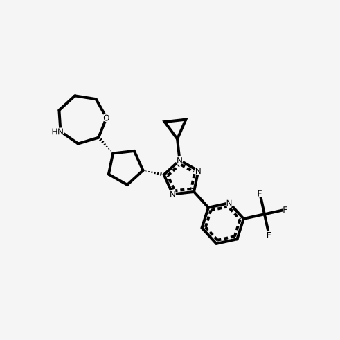 FC(F)(F)c1cccc(-c2nc([C@@H]3CC[C@H](C4CNCCCO4)C3)n(C3CC3)n2)n1